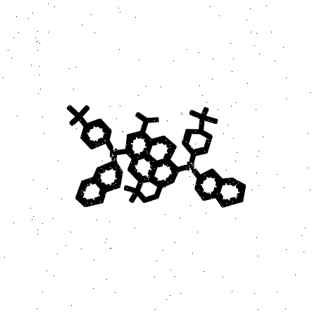 CC(C)c1cc(N(c2ccc(C(C)(C)C)cc2)c2ccc3ccccc3c2)c2cc3c4c(cc(N(C5=CCC(C(C)(C)C)C=C5)c5ccc6ccccc6c5)c5ccc1c2c54)CCC3(C)C